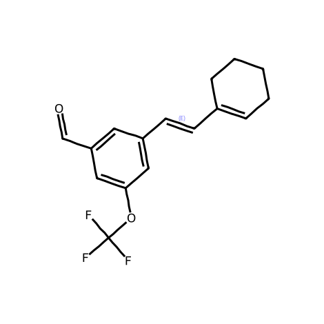 O=Cc1cc(/C=C/C2=CCCCC2)cc(OC(F)(F)F)c1